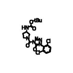 CC(C)(C)OC(=O)N[C@H]1CCN(C(=O)n2nnn(-c3c(Cl)cccc3Cl)c2=O)C1